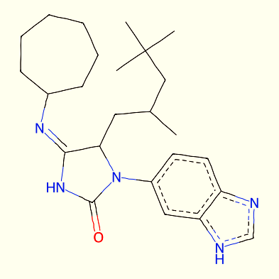 CC(CC1/C(=N\C2CCCCCC2)NC(=O)N1c1ccc2nc[nH]c2c1)CC(C)(C)C